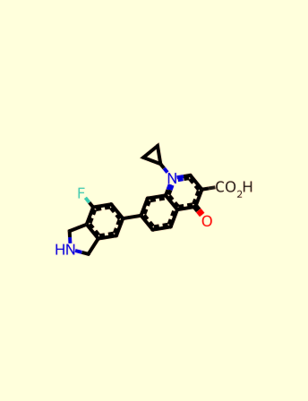 O=C(O)c1cn(C2CC2)c2cc(-c3cc(F)c4c(c3)CNC4)ccc2c1=O